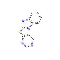 c1ccc2c(c1)nc1sc3ncncc3n12